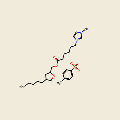 CCCCCCCCCCCCCCC1COC(COC(=O)CCCCC[n+]2ccn(C)c2)C1.Cc1ccc(S(=O)(=O)[O-])cc1